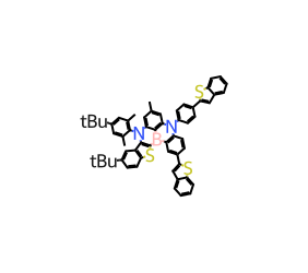 Cc1cc2c3c(c1)N(c1c(C)cc(C(C)(C)C)cc1C)c1c(sc4ccc(C(C)(C)C)cc14)B3c1cc(-c3cc4ccccc4s3)ccc1N2c1ccc(-c2cc3ccccc3s2)cc1